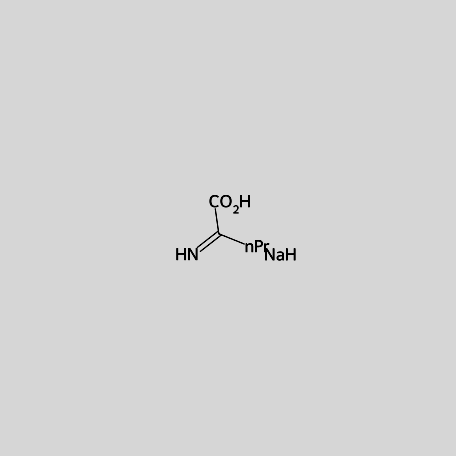 CCCC(=N)C(=O)O.[NaH]